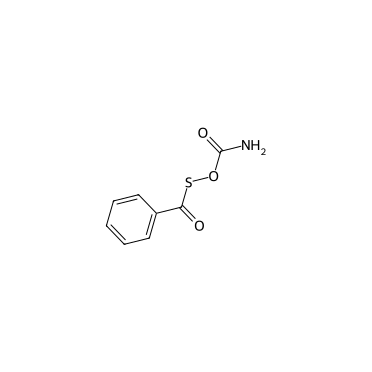 NC(=O)OSC(=O)c1ccccc1